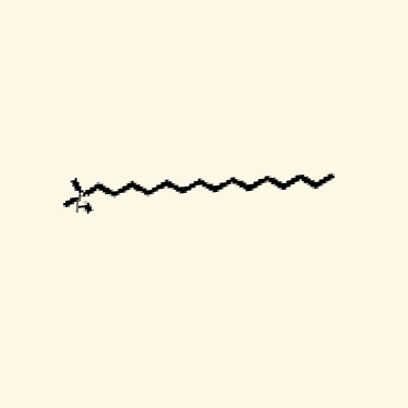 CCCCCCCCCCCCCCC[PH](C)(C)C